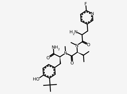 CC(C)[C@@H](C(=O)N(C)[C@@H](Cc1ccc(O)c(C(C)(C)C)c1)C(N)=O)N(C)C(=O)C(N)Cc1ccc(F)nc1